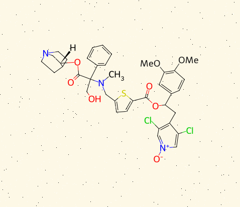 COc1ccc(C(Cc2c(Cl)c[n+]([O-])cc2Cl)OC(=O)c2ccc(CN(C)C(CO)(C(=O)O[C@H]3CN4CCC3CC4)c3ccccc3)s2)cc1OC